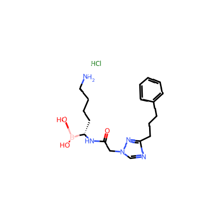 Cl.NCCCC[C@H](NC(=O)Cn1cnc(CCCc2ccccc2)n1)B(O)O